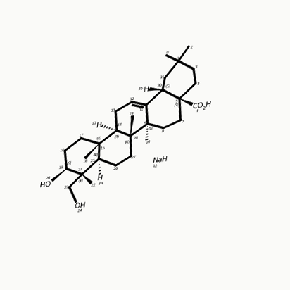 CC1(C)CC[C@]2(C(=O)O)CC[C@]3(C)C(=CC[C@@H]4[C@@]5(C)CC[C@H](O)[C@@](C)(CO)[C@@H]5CC[C@]43C)[C@@H]2C1.[NaH]